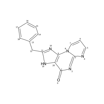 O=c1nc2ncccn2c2nc(Cc3ccccc3)[nH]c12